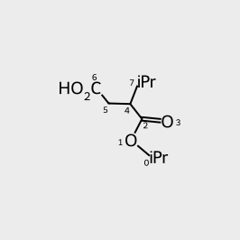 CC(C)OC(=O)C(CC(=O)O)C(C)C